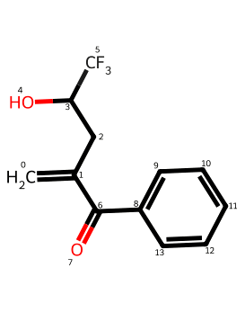 C=C(CC(O)C(F)(F)F)C(=O)c1ccccc1